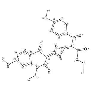 CCOC(=O)C(C(=O)c1ccc(OC)cc1)=c1sc(=C(C(=O)OCC)C(=O)c2ccc(OC)cc2)s1